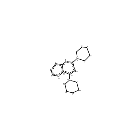 c1ncc2nc(N3CCCCC3)nc(N3CCCCC3)c2n1